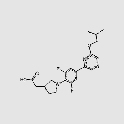 CC(C)COc1cncc(-c2cc(F)c(N3CCC(CC(=O)O)C3)c(F)c2)n1